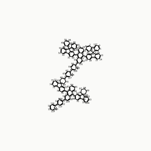 c1ccc(C2(c3ccccc3)c3ccccc3-c3ccc(-c4c5ccccc5c(-c5ccc6c(c5)C(c5ccccc5)(c5ccccc5)c5ccccc5-6)c5cc(-c6ccc(-c7ccc(C8CCC9(CC8)c8ccccc8-c8ccc(-c%10c%11ccccc%11c(-c%11ccc%12c(c%11)C%11(CCCCC%11)c%11ccccc%11-%12)c%11ccc(-c%12ccc(-c%13ccccn%13)cn%12)cc%10%11)cc89)cn7)cn6)ccc45)cc32)cc1